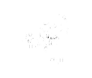 COc1ccccc1C(CC1(n2c(=O)n(CC3CC(C(=O)O)C3)c(=O)c3c(C)c(-c4ncco4)sc32)C=CC=CC1)OC1CCOCC1